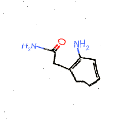 NC(=O)CC1=C(N)C=CCC1